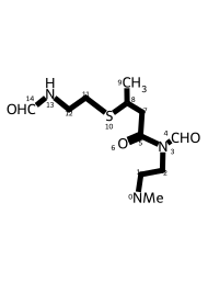 CNCCN(C=O)C(=O)CC(C)SCCNC=O